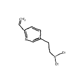 C=Cc1ccc(CCN(CC)CC)cn1